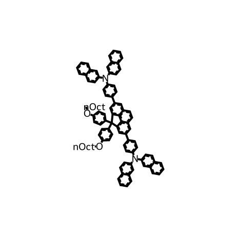 CCCCCCCCOc1ccc(C2(c3ccc(OCCCCCCCC)cc3)c3cc(-c4ccc(N(c5ccc6ccccc6c5)c5ccc6ccccc6c5)cc4)cc4ccc5cc(-c6ccc(N(c7ccc8ccccc8c7)c7ccc8ccccc8c7)cc6)cc2c5c34)cc1